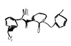 Cc1cccc(Cn2cccc(C(=O)N(N)c3cccc(C(F)(F)F)c3)c2=O)c1